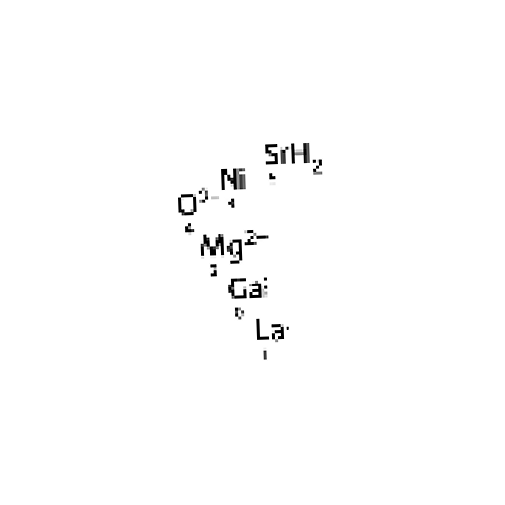 [Ga].[La].[Mg+2].[Ni].[O-2].[SrH2]